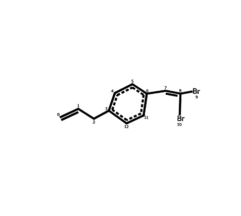 C=CCc1ccc(C=C(Br)Br)cc1